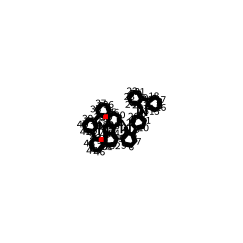 C1=C(n2c3ccccc3c3ccc(-n4c5ccccc5c5ccccc54)cc32)c2c(n(-c3c(-c4ccccc4)cccc3-c3ccccc3)c3ccccc23)CC1